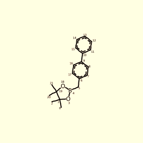 CC1(C)OB(Cc2ccc(-c3ccccc3)cc2)OC1(C)C